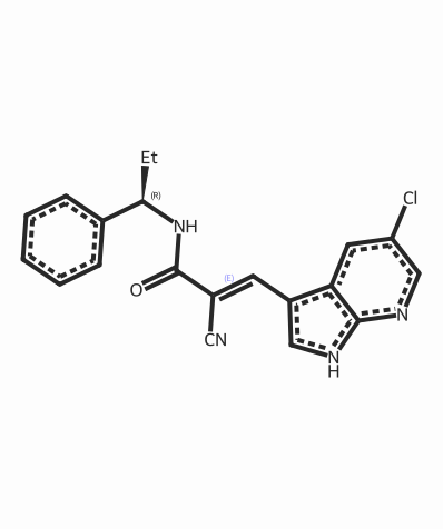 CC[C@@H](NC(=O)/C(C#N)=C/c1c[nH]c2ncc(Cl)cc12)c1ccccc1